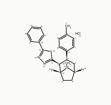 Cc1ccc([C@H]2C[C@@H]3CC[C@H]([C@H]2c2nnc(-c4ccccc4)s2)N3C)cc1.Cl